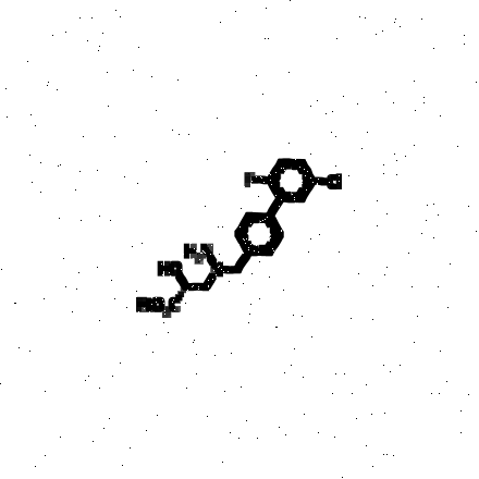 CCOC(=O)[C@H](O)CN(N)Cc1ccc(-c2cc(Cl)ccc2F)cc1